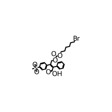 CS(=O)(=O)c1ccc(C(COC(=O)OCCCCCCBr)=C(C(=O)O)c2ccccc2)cc1